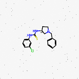 S=C(Nc1cccc(Cl)c1)N[C@H]1CCN(Cc2ccccc2)C1